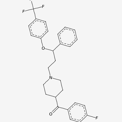 O=C(c1ccc(F)cc1)C1CCN(CCC(Oc2ccc(C(F)(F)F)cc2)c2ccccc2)CC1